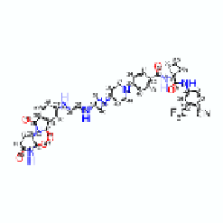 N#Cc1ccc(NC(=O)C2(NC(=O)c3ccc(N4CCC(N5CC(NCCNc6ccc7c(c6)C(=O)N(C6CCC(=O)NC6=O)C7=O)C5)CC4)cc3)CCC2)cc1C(F)(F)F